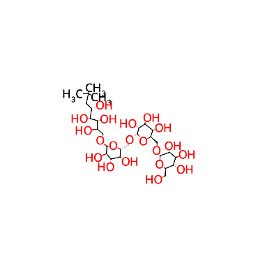 CC(C)(C)C[C@H](O)[C@@H](O)[C@H](O)[C@H](O)CO[C@H]1O[C@H](CO[C@H]2O[C@H](CO[C@H]3O[C@H](CO)[C@@H](O)[C@H](O)[C@H]3O)[C@@H](O)[C@H](O)[C@H]2O)[C@@H](O)[C@H](O)[C@H]1O